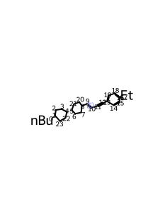 CCCC[C@H]1CC[C@H](C2CCC(/C=C/C#Cc3ccc(CC)cc3)CC2)CC1